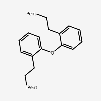 CCCC(C)CCc1ccccc1Oc1ccccc1CCC(C)CCC